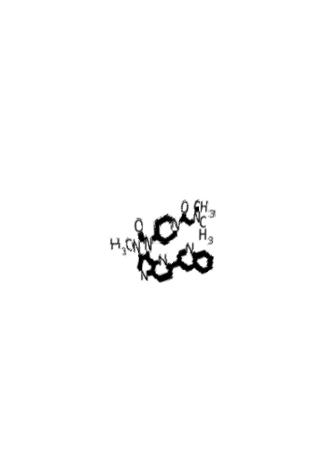 CN(C)CC(=O)N1CCC(n2c(=O)n(C)c3cnc4ccc(-c5cnc6ccccc6c5)nc4c32)CC1